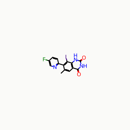 Cc1cc2c(=O)[nH]c(=O)[nH]c2c(I)c1-c1ccc(F)cn1